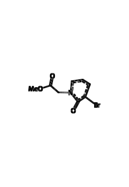 COC(=O)Cn1cccc(Br)c1=O